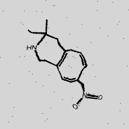 CC1(C)Cc2ccc([N+](=O)[O-])cc2CN1